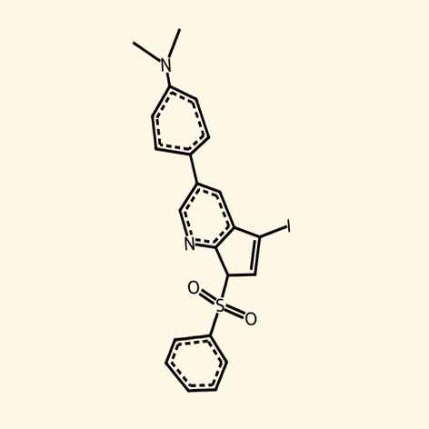 CN(C)c1ccc(-c2cnc3c(c2)C(I)=CC3S(=O)(=O)c2ccccc2)cc1